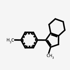 CC1=C(c2ccc(C)cc2)C2=C(CCCC2)C1